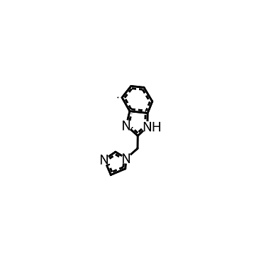 [c]1cccc2[nH]c(Cn3ccnc3)nc12